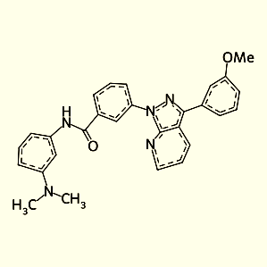 COc1cccc(-c2nn(-c3cccc(C(=O)Nc4cccc(N(C)C)c4)c3)c3ncccc23)c1